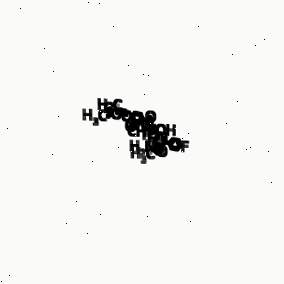 CCC(=O)O[C@H](C)COc1ccc(C(=O)NC[C@@](O)(c2cc3c(c(-c4ccc(F)cc4)n2)OC[C@@]3(C)N)C(F)(F)F)cc1OC